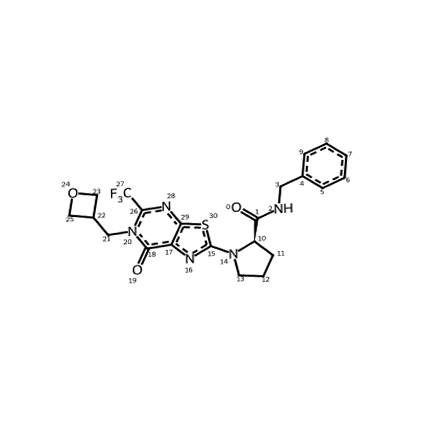 O=C(NCc1ccccc1)[C@H]1CCCN1c1nc2c(=O)n(CC3COC3)c(C(F)(F)F)nc2s1